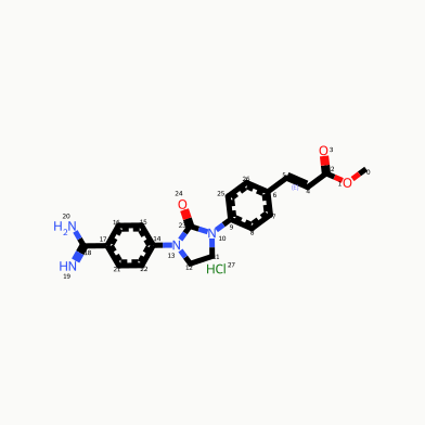 COC(=O)/C=C/c1ccc(N2CCN(c3ccc(C(=N)N)cc3)C2=O)cc1.Cl